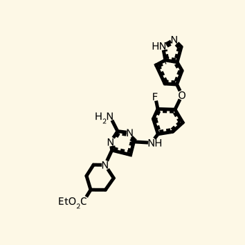 CCOC(=O)C1CCN(c2cc(Nc3ccc(Oc4ccc5[nH]ncc5c4)c(F)c3)nc(N)n2)CC1